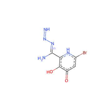 N=N/N=C(\N)c1[nH]c(Br)cc(=O)c1O